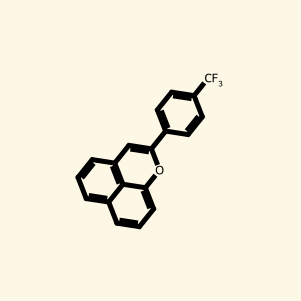 FC(F)(F)c1ccc(C2=Cc3cccc4cccc(c34)O2)cc1